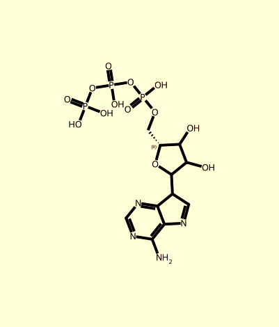 Nc1ncnc2c1N=CC2C1O[C@H](COP(=O)(O)OP(=O)(O)OP(=O)(O)O)C(O)C1O